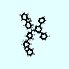 c1ccc(-c2cc(-c3ccccc3)cc(N(c3ccc(-c4ccc5sc6ccccc6c5c4)cc3)c3ccc4c(c3)sc3ccccc34)c2)cc1